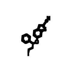 N#Cc1cc2ccc(O[C@@H](CCI)c3ccccc3)cc2s1